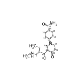 CC/C(=C\NC)C(=O)c1nn(-c2ccc(C(N)=O)cc2)ccc1=O